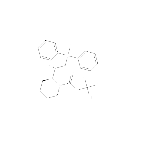 CC(C)(C)OC(=O)N1CCCC[C@H]1[C@@H](O)C[Si](C)(c1ccccc1)c1ccccc1